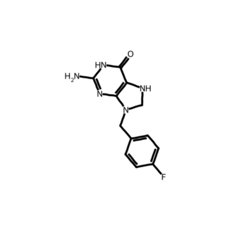 Nc1nc2c(c(=O)[nH]1)NCN2Cc1ccc(F)cc1